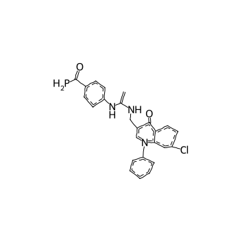 C=C(NCc1cn(-c2ccccc2)c2cc(Cl)ccc2c1=O)Nc1ccc(C(=O)P)cc1